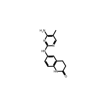 Cc1cnc(Nc2ccc3c(c2)CCC(=O)N3)nc1N